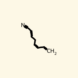 C=C/C=C\CC=CC#N